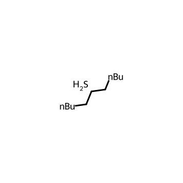 CCCCCCCCCCC.S